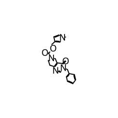 Cn1ccc(COC(=O)N2CCc3ncn(Cc4ccccc4)c(=O)c3C2)c1